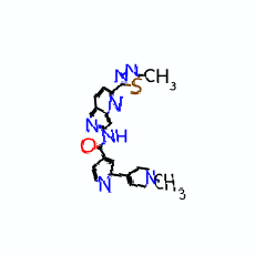 Cc1nnc(-c2ccc3cnc(NC(=O)c4ccnc(C5=CCN(C)CC5)c4)cc3n2)s1